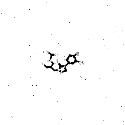 Cc1cc(-n2cnn(C/C(=C/F)COC(N)=O)c2=O)ccc1Br